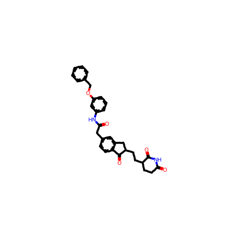 O=C1CCC(CCC2Cc3cc(CC(=O)Nc4cccc(OCc5ccccc5)c4)ccc3C2=O)C(=O)N1